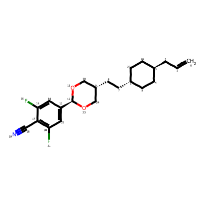 C=CC[C@H]1CC[C@H](CC[C@H]2CO[C@H](c3cc(F)c(C#N)c(F)c3)OC2)CC1